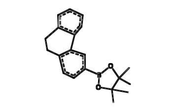 CC1(C)OB(c2ccc3c(c2)-c2ccccc2CC3)OC1(C)C